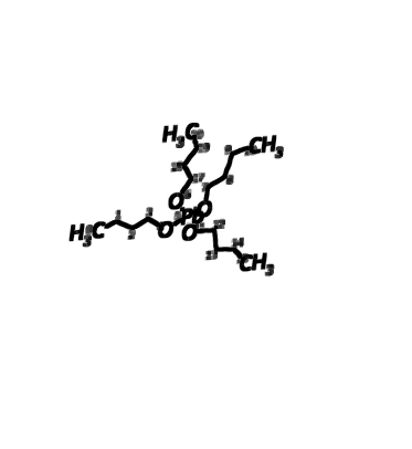 CCCC[O][Pb]([O]CCCC)([O]CCCC)[O]CCCC